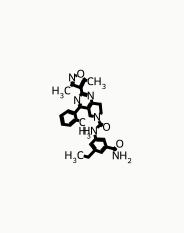 CCc1cc(NC(=O)N2CCc3nc(-c4c(C)noc4C)nc(-c4ccccc4C)c3C2)cc(C(N)=O)c1